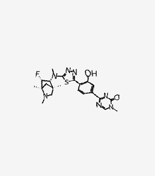 CN(c1nnc(-c2ccc(-c3ncn(C)c(=O)n3)cc2O)s1)[C@H]1[C@@H](F)[C@@]2(C)C[C@]1(C)CN2C